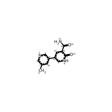 Cc1cncc(-c2c[nH]c(=O)c(C(N)=O)c2)c1